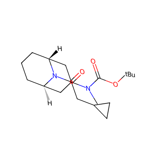 CN(C(=O)OC(C)(C)C)C1C[C@H]2CCC[C@H](C1)N2C(=O)CC1CC1